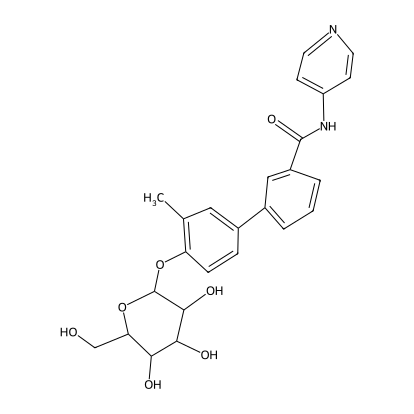 Cc1cc(-c2cccc(C(=O)Nc3ccncc3)c2)ccc1OC1OC(CO)C(O)C(O)C1O